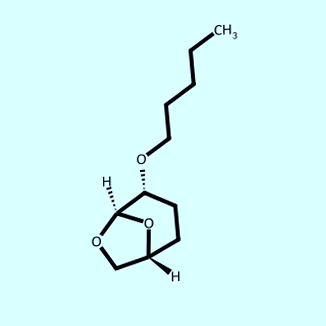 CCCCCO[C@@H]1CC[C@@H]2CO[C@@H]1O2